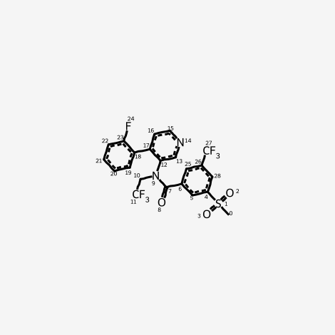 CS(=O)(=O)c1cc(C(=O)N(CC(F)(F)F)c2cnccc2-c2ccccc2F)cc(C(F)(F)F)c1